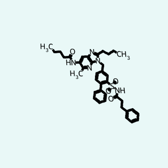 CCCCC(=O)Nc1cc2nc(CCCC)n(Cc3ccc(-c4ccccc4)c(S(=O)(=O)NC(=O)CCc4ccccc4)c3)c2nc1C